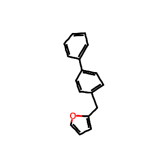 c1ccc(-c2ccc(Cc3ccco3)cc2)cc1